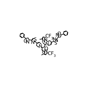 Cc1cc(C(F)(F)F)nn1CC(C(=O)C(Cn1nc(C(F)(F)F)cc1C)N1CC=C(c2nc(C3=NOC(c4ccccc4)C3)cs2)CC1)N1CC=C(c2nc(C3=NOC(c4ccccc4)C3)cs2)CC1